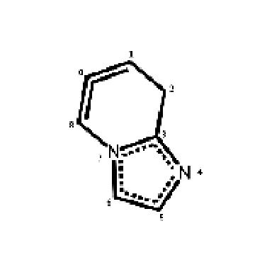 C1=CCc2nccn2C=1